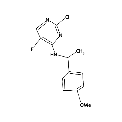 COc1ccc(C(C)Nc2nc(Cl)ncc2F)cc1